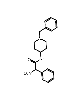 O=C(NC1CCN(Cc2ccccc2)CC1)C(c1ccccc1)[N+](=O)[O-]